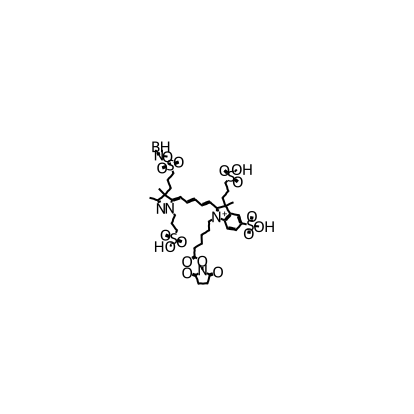 B=NOS(=O)(=O)CCCC1(C)C(C)=NN(CCCS(=O)(=O)O)\C1=C/C=C/C=C/C1=[N+](CCCCCC(=O)ON2C(=O)CCC2=O)c2ccc(S(=O)(=O)O)cc2C1(C)CCCS(=O)(=O)O